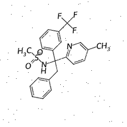 Cc1ccc(C(Cc2ccccc2)(NS(C)(=O)=O)c2cccc(C(F)(F)F)c2)nc1